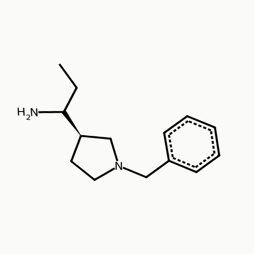 CCC(N)[C@@H]1CCN(Cc2ccccc2)C1